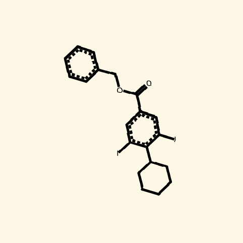 O=C(OCc1ccccc1)c1cc(I)c(C2CCCCC2)c(I)c1